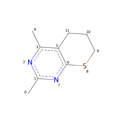 Cc1nc(C)c2c(n1)SCCC2